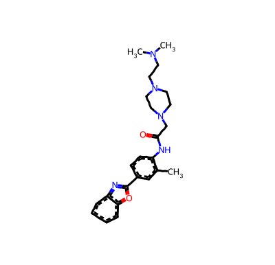 Cc1cc(-c2nc3ccccc3o2)ccc1NC(=O)CN1CCN(CCN(C)C)CC1